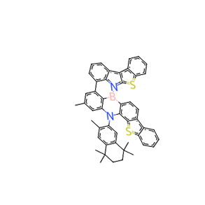 Cc1cc2c3c(c1)N(c1cc4c(cc1C)C(C)(C)CCC4(C)C)c1c(ccc4c1sc1ccccc14)B3n1c3sc4ccccc4c3c3cccc-2c31